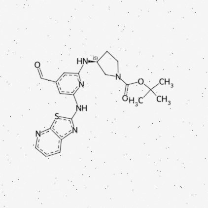 CC(C)(C)OC(=O)N1CC[C@H](Nc2cc(C=O)cc(Nc3nc4cccnc4s3)n2)C1